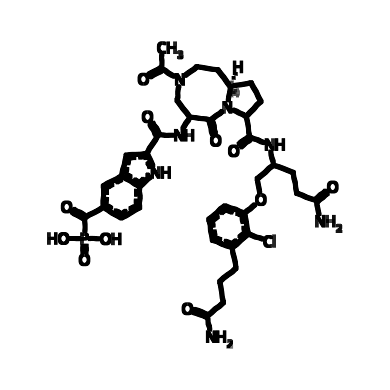 CC(=O)N1CC[C@H]2CCC(C(=O)NC(CCC(N)=O)COc3cccc(CCCC(N)=O)c3Cl)N2C(=O)C(NC(=O)c2cc3cc(C(=O)P(=O)(O)O)ccc3[nH]2)C1